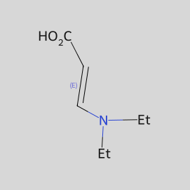 CCN(/C=C/C(=O)O)CC